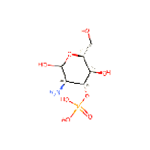 N[C@H]1C(O)O[C@H](CO)[C@@H](O)[C@@H]1OP(=O)(O)O